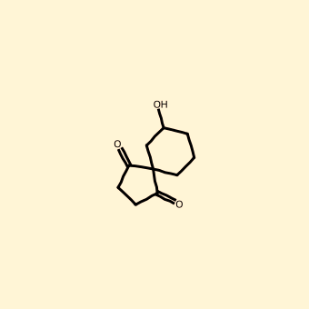 O=C1CCC(=O)C12CCCC(O)C2